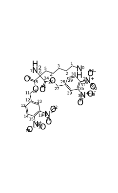 NCCCCCC(N)(C(=O)OCc1ccc([N+](=O)[O-])c([N+](=O)[O-])c1)C(=O)OCc1ccc([N+](=O)[O-])c([N+](=O)[O-])c1